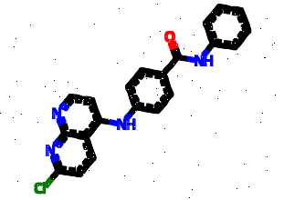 O=C(Nc1ccccc1)c1ccc(Nc2ccnc3nc(Cl)ccc23)cc1